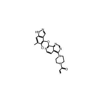 C=CC(=O)N1CCN(c2ncnc3c(Oc4c(Cl)c(C)cc5[nH]ncc45)nccc23)CC1